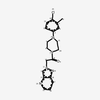 Cc1cc(N2CCN(C(=O)Cn3cc4ncccc4n3)CC2)ccc1Cl